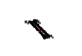 CCCCCCCCCCCCCCCCCCOP(=O)(O)O.CCCCCCCCCCCCCCCCCC[N+](C)(C)C